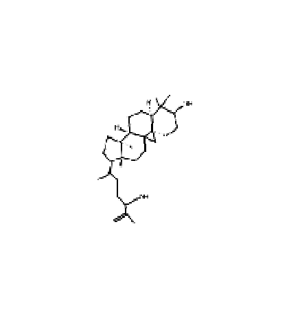 C=C(C)C(O)CCC(C)[C@H]1CC[C@@]2(C)[C@@H]3CC[C@H]4C(C)(C)[C@@H](O)CC[C@@]45C[C@@]35CC[C@]12C